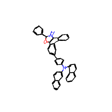 c1ccc(C2Nc3c(c4ccc(-c5ccc(N(c6ccc7ccccc7c6)c6cccc7ccccc67)cc5)cc4c4ccccc34)O2)cc1